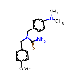 COc1ccc(CN(Cc2ccc(N(C)C)cc2)C(N)=S)cc1